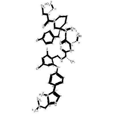 C[C@H](NCc1c(F)cc(Cl)cc1Oc1ccc(-c2cnc(CN(C)C)n2C)cc1)C(=O)N[C@@H](CO)C(=O)N(C)[C@@]1(Cc2ccc(Cl)cc2)CCCN(C(=O)[C@@H](CC(=O)O)CC(F)(F)F)C1